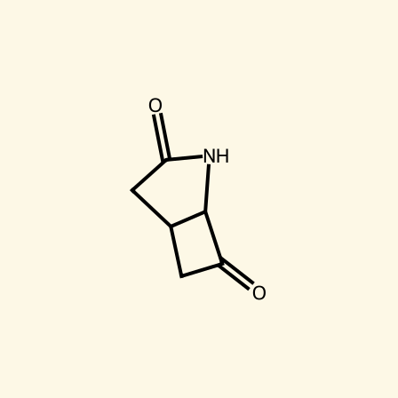 O=C1CC2CC(=O)C2N1